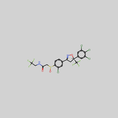 O=C(C[S+]([O-])c1ccc(C2=NO[C@@](c3cc(Cl)c(Cl)c(Cl)c3)(C(F)(F)F)C2)cc1Cl)NCC(F)(F)F